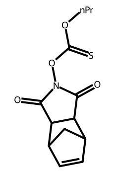 CCCOC(=S)ON1C(=O)C2C3C=CC(C3)C2C1=O